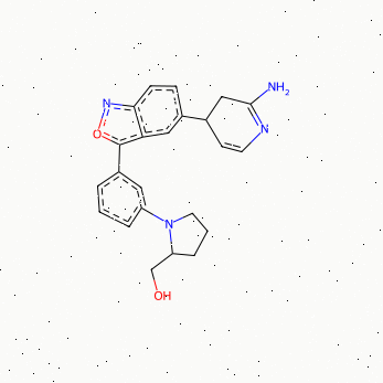 NC1=NC=CC(c2ccc3noc(-c4cccc(N5CCCC5CO)c4)c3c2)C1